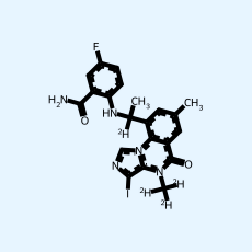 [2H]C(C)(Nc1ccc(F)cc1C(N)=O)c1cc(C)cc2c(=O)n(C([2H])([2H])[2H])c3c(I)ncn3c12